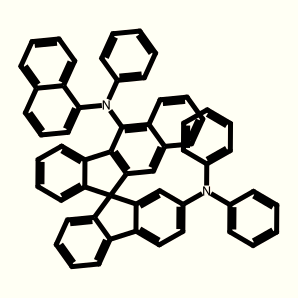 c1ccc(N(c2ccccc2)c2ccc3c(c2)C2(c4ccccc4-3)c3ccccc3-c3c2cc2ccccc2c3N(c2ccccc2)c2cccc3ccccc23)cc1